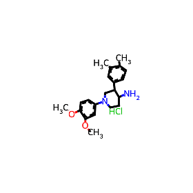 COc1ccc(N2CCC(N)C(c3ccc(C)c(C)c3)C2)cc1OC.Cl